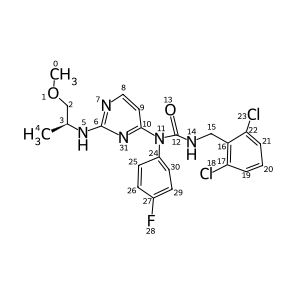 COC[C@H](C)Nc1nccc(N(C(=O)NCc2c(Cl)cccc2Cl)c2ccc(F)cc2)n1